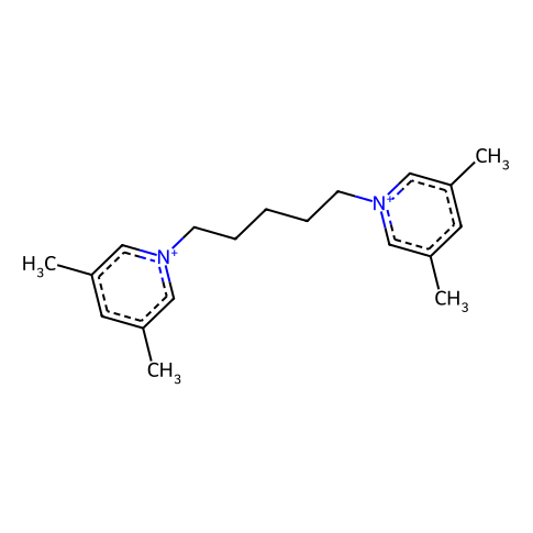 Cc1cc(C)c[n+](CCCCC[n+]2cc(C)cc(C)c2)c1